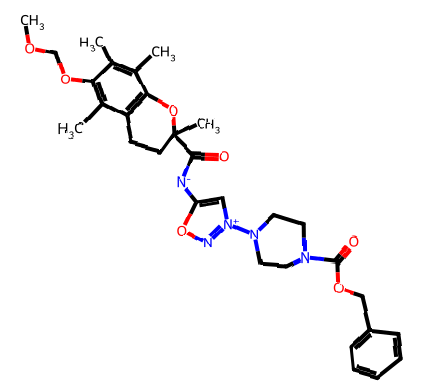 COCOc1c(C)c(C)c2c(c1C)CCC(C)(C(=O)[N-]c1c[n+](N3CCN(C(=O)OCc4ccccc4)CC3)no1)O2